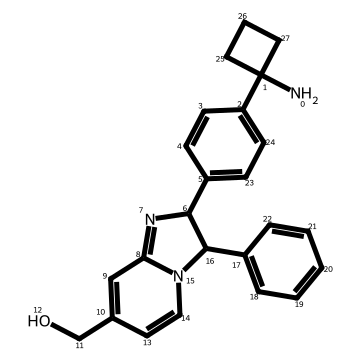 NC1(c2ccc(C3N=C4C=C(CO)C=CN4C3c3ccccc3)cc2)CCC1